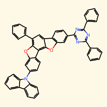 c1ccc(-c2nc(-c3ccccc3)nc(-c3ccc4c(c3)oc3c4cc(-c4ccccc4)c4oc5cc(-n6c7ccccc7c7ccccc76)ccc5c43)n2)cc1